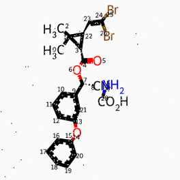 CC1(C)[C@H](C(=O)O[C@H](C#N)c2cccc(Oc3ccccc3)c2)[C@@H]1C=C(Br)Br.NC(=O)O